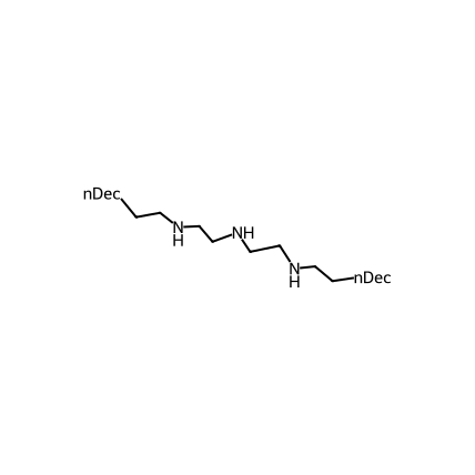 CCCCCCCCCCCCNCCNCCNCCCCCCCCCCCC